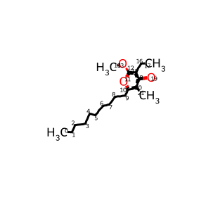 CCCCCCCCCCc1oc(OC)c(CC)c(=O)c1C